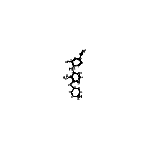 Cc1c(Nc2ccc(C#N)cc2F)ncnc1OC1CCNCC1